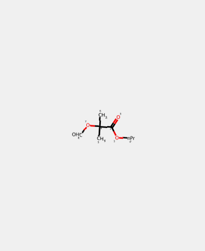 CCCOC(=O)C(C)(C)OC=O